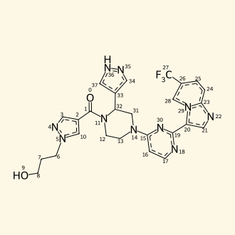 O=C(c1cnn(CCCO)c1)N1CCN(c2ccnc(-c3cnc4ccc(C(F)(F)F)cn34)n2)CC1c1cn[nH]c1